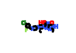 CCc1nc2nc(N3CCN(C4CCN(Cc5ccc(Cl)cc5F)CC4)[C@@H](CC)C3)c(O)nc2c(=O)[nH]1